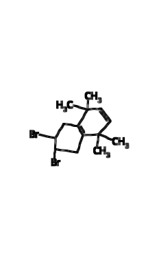 CC1(C)C=CC(C)(C)C2=C1CC(Br)C(Br)C2